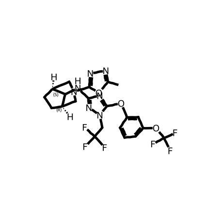 Cc1nnc(N2C[C@H]3CC[C@@H](C2)C3Nc2nc(Oc3cccc(OC(F)(F)F)c3)n(CC(F)(F)F)n2)o1